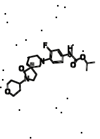 CC(C)OC(=O)Nc1ccc(N2CCC[C@]3(CCN(C4CCOCC4)C3=O)C2)c(F)c1